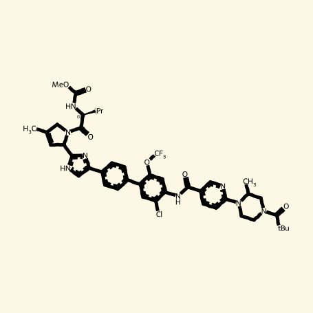 COC(=O)N[C@H](C(=O)N1CC(C)=CC1c1nc(-c2ccc(-c3cc(Cl)c(NC(=O)c4ccc(N5CCN(C(=O)C(C)(C)C)CC5C)nc4)cc3OC(F)(F)F)cc2)c[nH]1)C(C)C